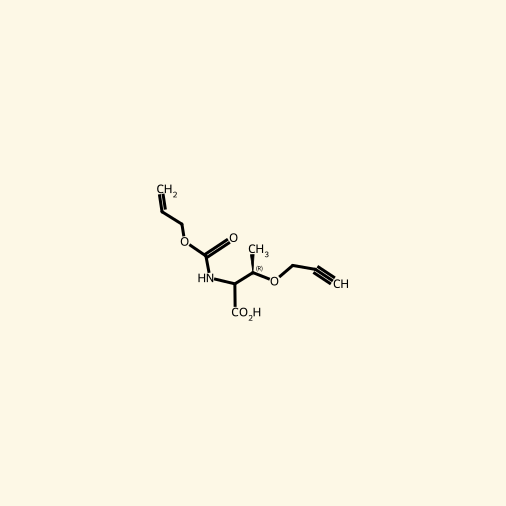 C#CCO[C@H](C)C(NC(=O)OCC=C)C(=O)O